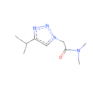 CC(C)c1cn(CC(=O)N(C)C)nn1